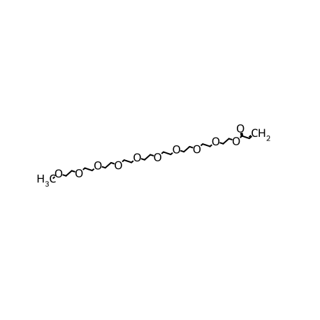 C=CC(=O)OCCOCCOCCOCCOCCOCCOCCOCCOCCOC